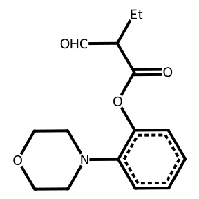 CCC(C=O)C(=O)Oc1ccccc1N1CCOCC1